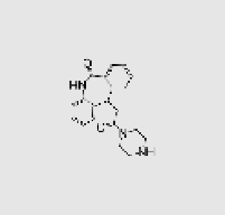 O=C1Nc2ccccc2C(CC(=O)N2CCNCC2)c2ccccc21